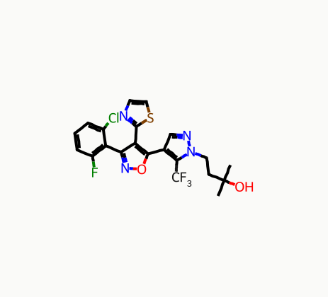 CC(C)(O)CCn1ncc(-c2onc(-c3c(F)cccc3Cl)c2-c2nccs2)c1C(F)(F)F